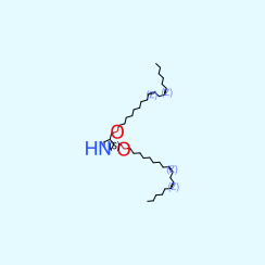 CCCCC/C=C\C/C=C\CCCCCCCCOCC1CNC[C@H]1COCCCCCCCC/C=C\C/C=C\CCCCC